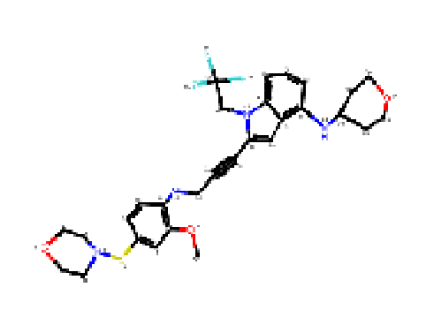 COc1cc(SN2CCOCC2)ccc1NCC#Cc1cc2c(NC3CCOCC3)cccc2n1CC(F)(F)F